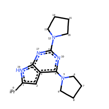 CC(C)c1cc2c(N3CCCC3)nc(N3CCCC3)nc2[nH]1